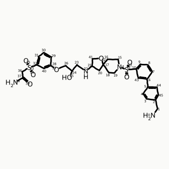 NCc1ccc(-c2cccc(S(=O)(=O)N3CCC4(CC3)CC(NCC(O)COc3cccc(S(=O)(=O)CC(N)=O)c3)CO4)c2)cc1